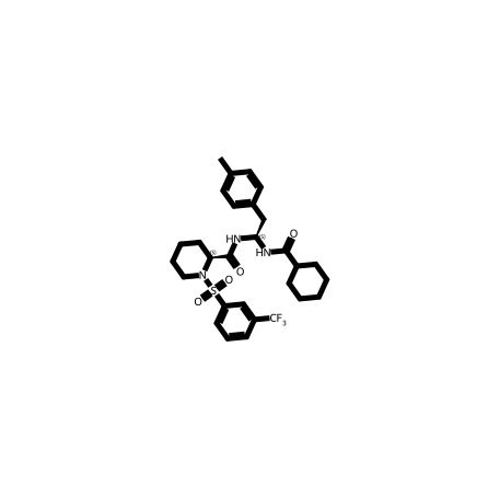 Cc1ccc(C[C@@H](NC(=O)C2CCCCC2)NC(=O)[C@@H]2CCCCN2S(=O)(=O)c2cccc(C(F)(F)F)c2)cc1